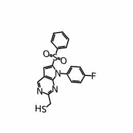 O=S(=O)(c1ccccc1)c1cc2cnc(CS)nc2n1-c1ccc(F)cc1